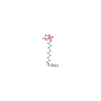 CCCCCCCC/C=C\CCCCCCCCOP1(=O)OCCO1